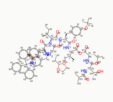 CC[C@H](C)[C@H](NC(=O)[C@H](Cc1ccc(OC(C)(C)C)cc1)N(C)C(=O)[C@H]([C@@H](C)CC)N(C(=O)[C@@H](N)CCC(=O)NC(c1ccccc1)(c1ccccc1)c1ccccc1)C(=O)[C@H](CCC1OCCO1)N(Cc1ccccc1)Cc1ccccc1)C(=O)OC(=O)[C@H](CC(C)C)NC(=O)[C@@H](NC(=O)C(C)C)[C@@H](C)O